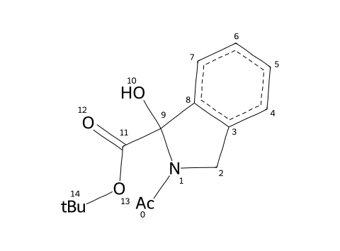 CC(=O)N1Cc2ccccc2C1(O)C(=O)OC(C)(C)C